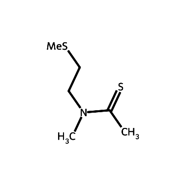 CSCCN(C)C(C)=S